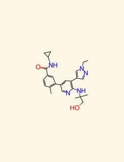 CCn1cc(-c2cc(-c3cc(C(=O)NC4CC4)ccc3C)cnc2NC(C)(C)CO)cn1